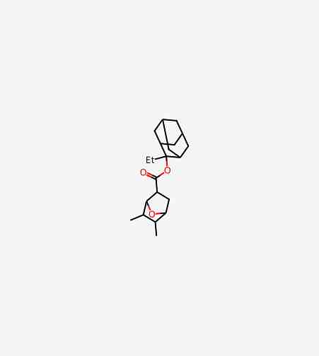 CCC1(OC(=O)C2CC3OC2C(C)C3C)C2CC3CC(C2)CC1C3